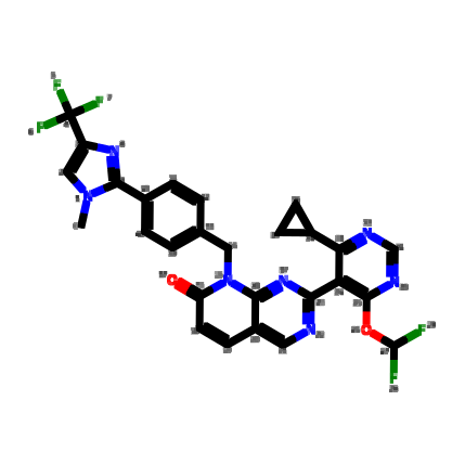 Cn1cc(C(F)(F)F)nc1-c1ccc(Cn2c(=O)ccc3cnc(-c4c(OC(F)F)ncnc4C4CC4)nc32)cc1